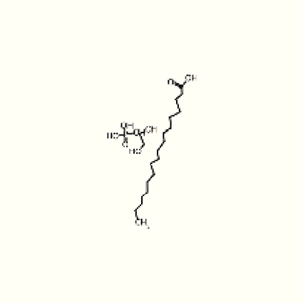 CCCCCCCCCCCCCCCCCC(=O)O.O=P(O)(O)O.OCCO